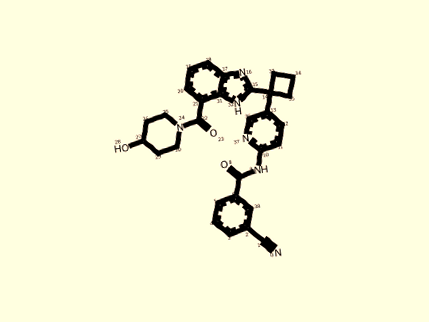 N#Cc1cccc(C(=O)Nc2ccc(C3(c4nc5cccc(C(=O)N6CCC(O)CC6)c5[nH]4)CCC3)cn2)c1